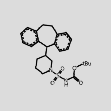 CC(C)(C)OC(=O)NS(=O)(=O)N1CCCC(C2c3ccccc3CCc3ccccc32)C1